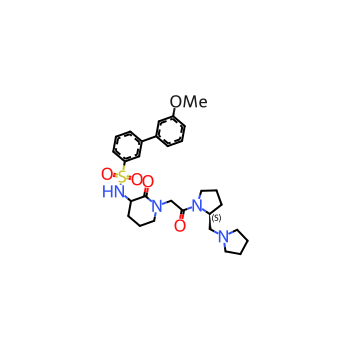 COc1cccc(-c2cccc(S(=O)(=O)NC3CCCN(CC(=O)N4CCC[C@H]4CN4CCCC4)C3=O)c2)c1